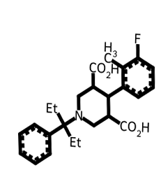 CCC(CC)(c1ccccc1)N1CC(C(=O)O)C(c2cccc(F)c2C)C(C(=O)O)C1